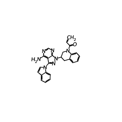 C=CC(=O)N1CC(n2nc(-n3ccc4ccccc43)c3c(N)ncnc32)Cc2ccccc21